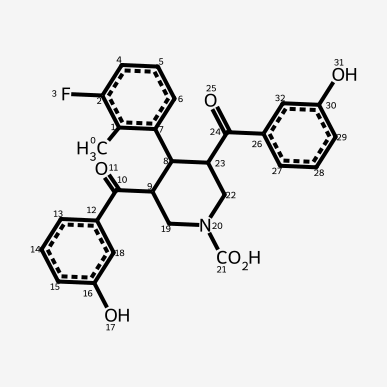 Cc1c(F)cccc1C1C(C(=O)c2cccc(O)c2)CN(C(=O)O)CC1C(=O)c1cccc(O)c1